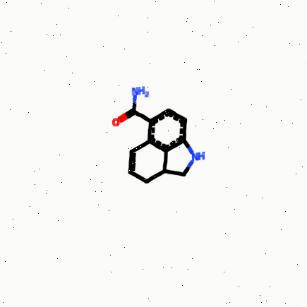 NC(=O)c1ccc2c3c1C=CCC3CN2